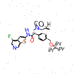 C=CCN(C[C@@H](C(=O)Nc1cc2c(F)cncc2s1)c1ccc(CO[Si](C(C)C)(C(C)C)C(C)C)cc1)C(=O)O